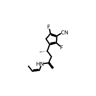 C=C(C[C@H](C)C1=C(F)C(C#N)=C(F)C1)N/C=C\C